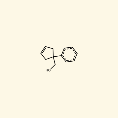 OCC1(c2ccccc2)CC=CC1